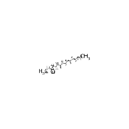 CC=CC=CC=CCCCCCCC(=O)CC